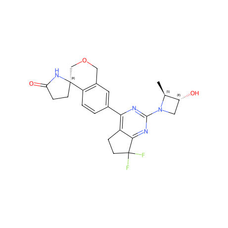 C[C@H]1[C@H](O)CN1c1nc(-c2ccc3c(c2)COC[C@@]32CCC(=O)N2)c2c(n1)C(F)(F)CC2